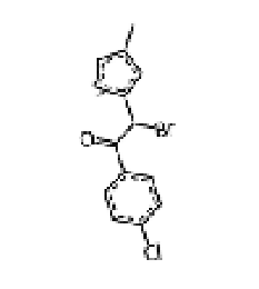 Cc1csc(C(Br)C(=O)c2ccc(Cl)cc2)c1